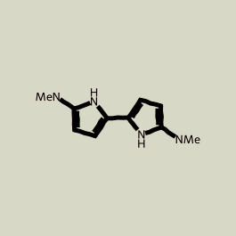 CNc1ccc(-c2ccc(NC)[nH]2)[nH]1